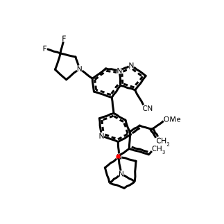 C=C(/C=C\C(=C/C)CN1C2CC1CN(c1ccc(-c3cc(N4CCC(F)(F)C4)cn4ncc(C#N)c34)cn1)C2)OC